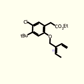 C=C/C(=C\C)COc1cc(C(C)(C)C)c(Cl)cc1CC(=O)OCC